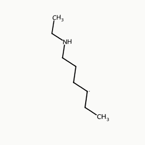 CC[CH]CCCNCC